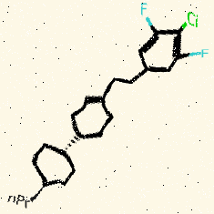 CCC[C@H]1CC[C@H](C2CCC(CCc3cc(F)c(Cl)c(F)c3)CC2)CC1